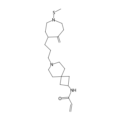 C=CC(=O)NC1CC2(CCN(CCCC3CCN(SC)CCC3=C)CC2)C1